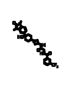 Cn1c(=O)n(C)c2cc(C3(O)CCC(N4CC(NC(=O)CNC(=O)c5cccc(C(F)(F)F)c5)C4)CC3)ccc21